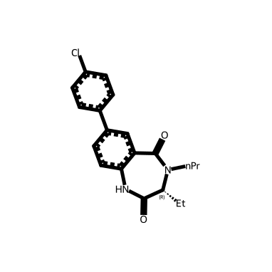 CCCN1C(=O)c2cc(-c3ccc(Cl)cc3)ccc2NC(=O)[C@H]1CC